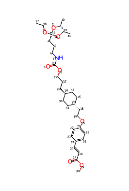 CCO[Si](CCCNC(=O)OCCC[C@H]1CC[C@H](CCOc2ccc(/C=C/C(=O)OC)cc2)CC1)(OCC)OCC